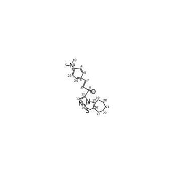 CN(C)c1ccc(C=CC(=O)c2cnc3sc4c(n23)CCCCC4)cc1